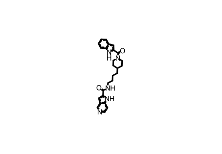 O=C(NCCCCC1CCN(C(=O)c2cc3ccccc3[nH]2)CC1)c1cc2cnccc2[nH]1